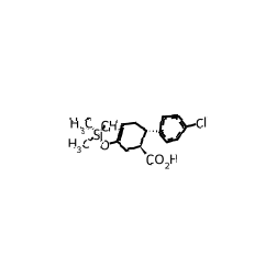 C[Si](C)(C)OC1=CC[C@H](c2ccc(Cl)cc2)[C@@H](C(=O)O)C1